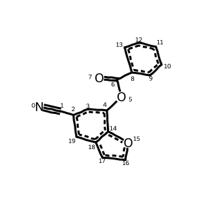 N#Cc1cc(OC(=O)c2ccccc2)c2occc2c1